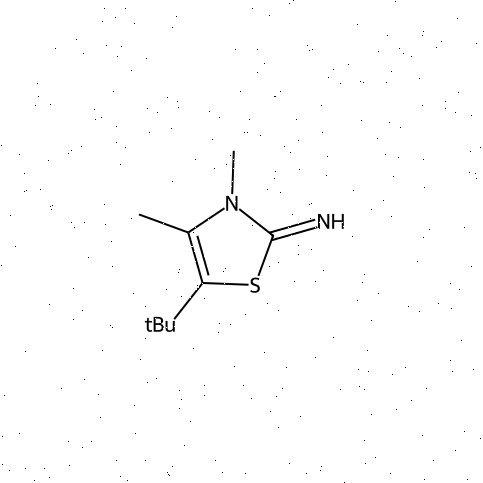 Cc1c(C(C)(C)C)sc(=N)n1C